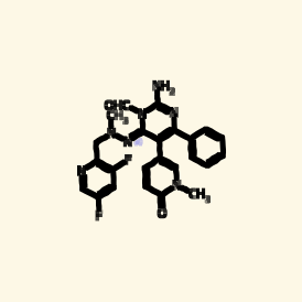 CN(Cc1ncc(F)cc1F)/N=c1/c(-c2ccc(=O)n(C)c2)c(-c2ccccc2)nc(N)n1C=O